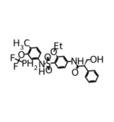 CCOc1cc(NC(=O)[C@@H](CO)c2ccccc2)ccc1S(=O)(=O)Nc1ccc(C)c(OC(F)(F)P)c1